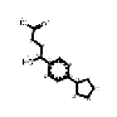 O=C(O)CCC(O)c1ccc(C2CCCC2)cc1